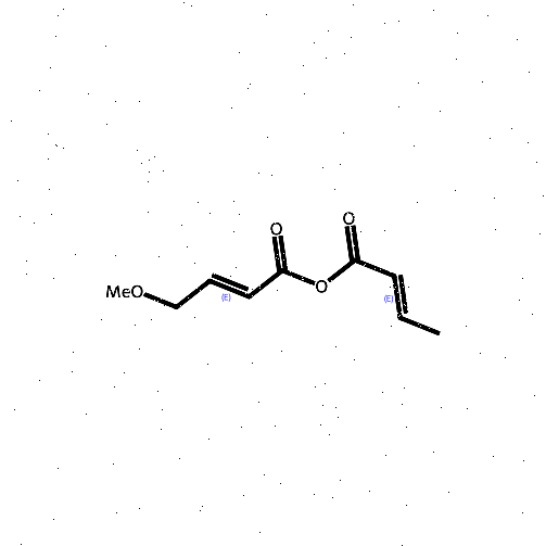 C/C=C/C(=O)OC(=O)/C=C/COC